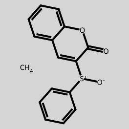 C.O=c1oc2ccccc2cc1[S+]([O-])c1ccccc1